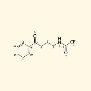 O=C(CCCNC(=O)C(F)(F)F)C1=CCCC=C1